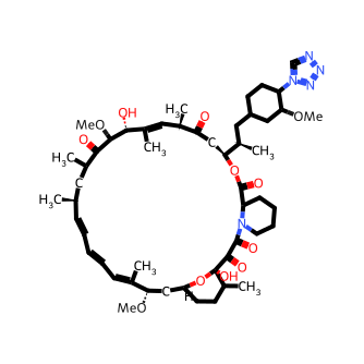 COC1CC(C[C@@H](C)[C@@H]2CC(=O)[C@H](C)/C=C(\C)[C@@H](O)C(OC)C(=O)C(C)C[C@H](C)/C=C/C=C/C=C(\C)[C@@H](OC)C[C@@H]3CCC(C)C(O)(O3)C(=O)C(=O)N3CCCCC3C(=O)O2)CCC1n1cnnn1